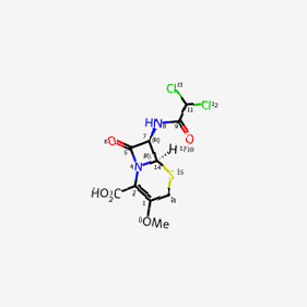 COC1=C(C(=O)O)N2C(=O)[C@@H](NC(=O)C(Cl)Cl)[C@H]2SC1